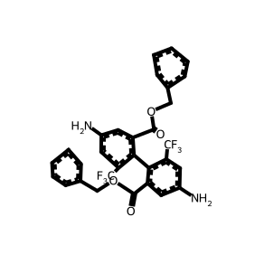 Nc1cc(C(=O)OCc2ccccc2)c(-c2c(C(=O)OCc3ccccc3)cc(N)cc2C(F)(F)F)c(C(F)(F)F)c1